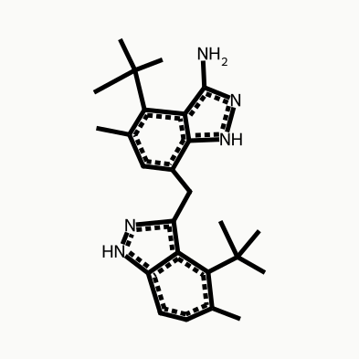 Cc1ccc2[nH]nc(Cc3cc(C)c(C(C)(C)C)c4c(N)n[nH]c34)c2c1C(C)(C)C